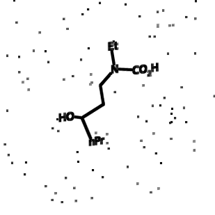 CCCC(O)CCN(CC)C(=O)O